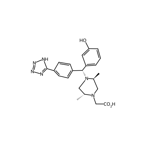 C[C@@H]1CN([C@H](c2ccc(-c3nnn[nH]3)cc2)c2cccc(O)c2)[C@@H](C)CN1CC(=O)O